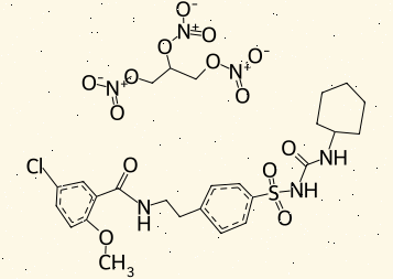 COc1ccc(Cl)cc1C(=O)NCCc1ccc(S(=O)(=O)NC(=O)NC2CCCCC2)cc1.O=[N+]([O-])OCC(CO[N+](=O)[O-])O[N+](=O)[O-]